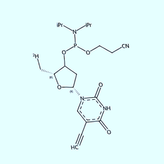 [2H]C[C@H]1O[C@@H](n2cc(C#C)c(=O)[nH]c2=O)CC1OP(OCCC#N)N(C(C)C)C(C)C